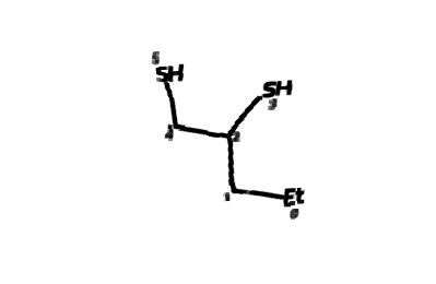 CCCC(S)[CH]S